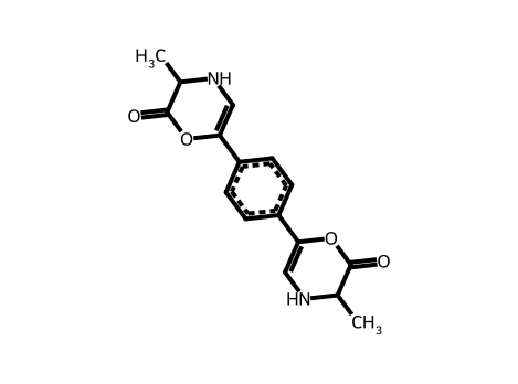 CC1NC=C(c2ccc(C3=CNC(C)C(=O)O3)cc2)OC1=O